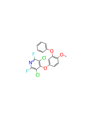 COc1ccc(Oc2c(Cl)c(F)nc(F)c2Cl)cc1Oc1ccccc1